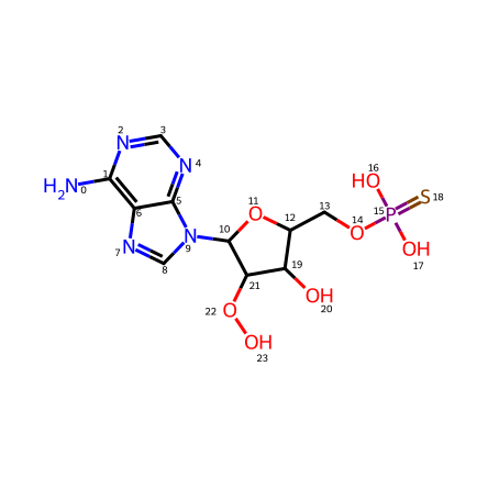 Nc1ncnc2c1ncn2C1OC(COP(O)(O)=S)C(O)C1OO